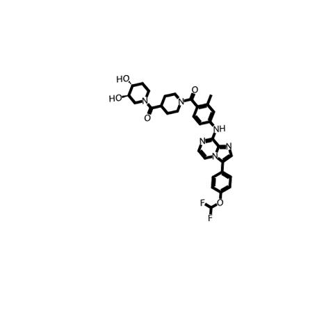 Cc1cc(Nc2nccn3c(-c4ccc(OC(F)F)cc4)cnc23)ccc1C(=O)N1CCC(C(=O)N2CC[C@@H](O)[C@H](O)C2)CC1